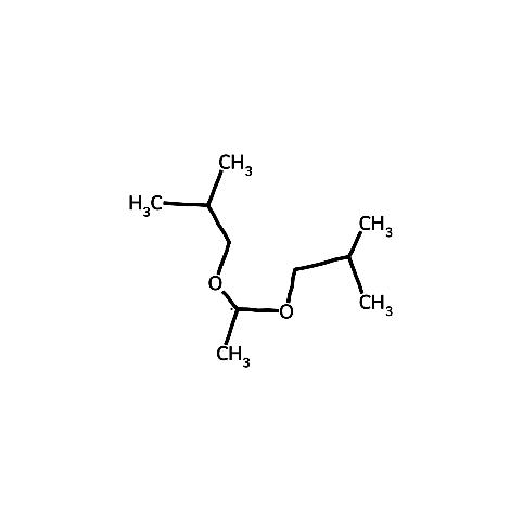 C[C](OCC(C)C)OCC(C)C